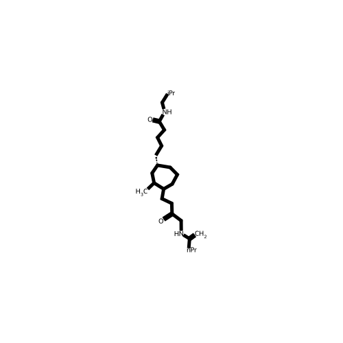 C=C(CCC)NCC(=O)CCC1CCC[C@@H](CCCCC(=O)NCC(C)C)CC1C